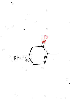 CC1=CC[C@H](C(C)C)CC1=O